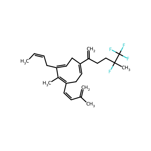 C=C(C)\C=C/C1=C(C)/C(C/C=C\C)=C/C/C(C(=C)CCC(C)(F)C(F)(F)F)=C\C1